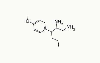 CCCC(c1ccc(OC)cc1)C(N)CN